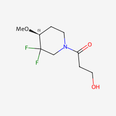 CO[C@H]1CCN(C(=O)CCO)CC1(F)F